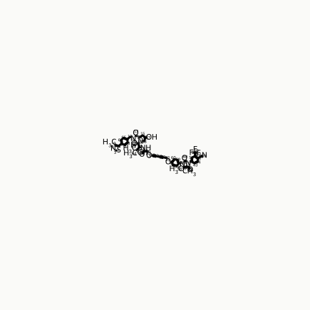 Cc1ncsc1-c1ccc(CNC(=O)[C@@H]2C[C@@H](O)CN2C(=O)[C@@H](NC(=O)COC#CC#CCOc2ccc(N3C(=O)N(c4ccc(C#N)c(C(F)(F)F)c4)C(=O)C3(C)C)cc2)C(C)(C)C)cc1